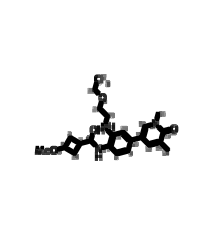 COC1CC(C(O)Nc2ccc(-c3cc(C)c(=O)n(C)c3)cc2NCCOCC(F)(F)F)C1